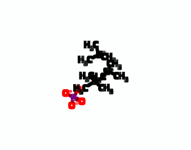 C[Si+](C)C.C[Si+](C)C.C[Si+](C)C.O=P([O-])([O-])[O-]